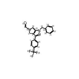 O=CN1Cc2c(-c3ccc(C(F)(F)F)cc3)nn(Cc3ccccc3)c2C1